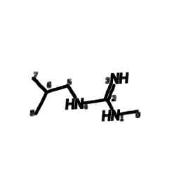 CNC(=N)NCC(C)C